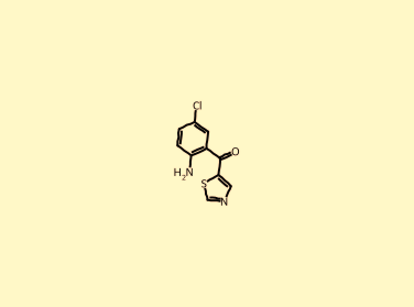 Nc1ccc(Cl)cc1C(=O)c1cncs1